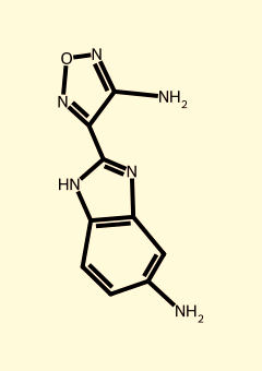 Nc1ccc2[nH]c(-c3nonc3N)nc2c1